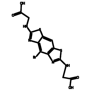 O=C(O)CNc1nc2c(Br)c3nc(NCC(=O)O)sc3cc2s1